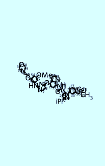 COc1cc(Nc2nccc(Oc3ccc(NC(=O)Nc4cc(C(C)C)nn4-c4cccc(CP(C)(C)=O)c4)c4ncccc34)n2)cc(OCCN2CCOCC2)c1